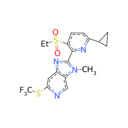 CCS(=O)(=O)c1ccc(C2CC2)nc1-c1nc2cc(SC(F)(F)F)ncc2n1C